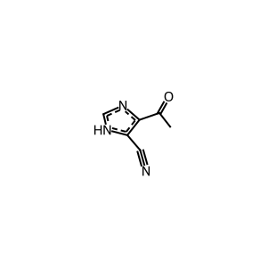 CC(=O)c1nc[nH]c1C#N